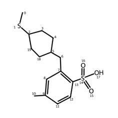 CSC1CCC(Cc2cc(C)ccc2S(=O)(=O)O)CC1